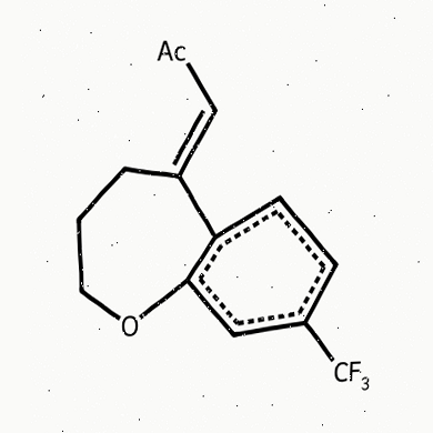 CC(=O)/C=C1\CCCOc2cc(C(F)(F)F)ccc21